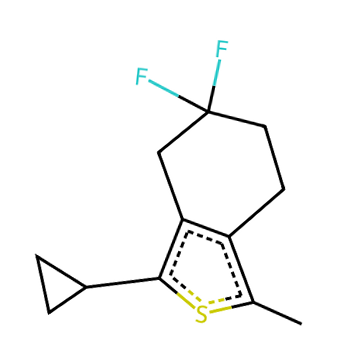 Cc1sc(C2CC2)c2c1CCC(F)(F)C2